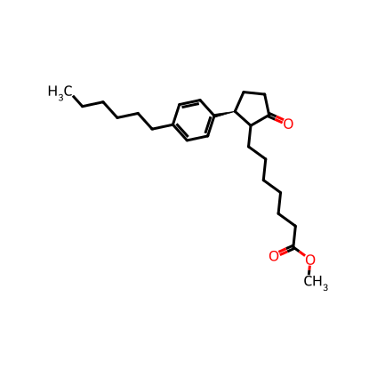 CCCCCCc1ccc([C@H]2CCC(=O)C2CCCCCCC(=O)OC)cc1